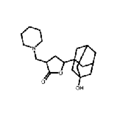 O=C1OC(C23CC4CC(CC(O)(C4)C2)C3)CC1CN1CCCCC1